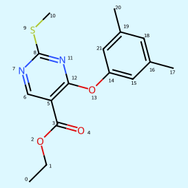 CCOC(=O)c1cnc(SC)nc1Oc1cc(C)cc(C)c1